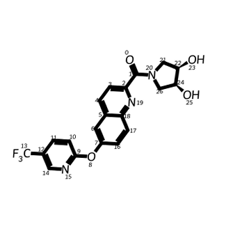 O=C(c1ccc2cc(Oc3ccc(C(F)(F)F)cn3)ccc2n1)N1C[C@@H](O)[C@@H](O)C1